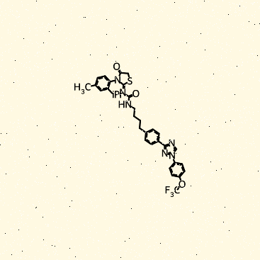 Cc1ccc(N2C(=O)CSC2=NC(=O)NCCCCc2ccc(-c3ncn(-c4ccc(OC(F)(F)F)cc4)n3)cc2)c(C(C)C)c1